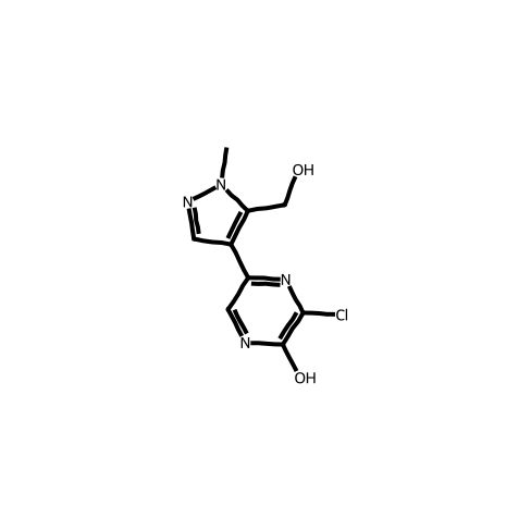 Cn1ncc(-c2cnc(O)c(Cl)n2)c1CO